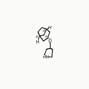 C1CC(O[C@@H]2C[C@@H]3CC[C@@H](C3)C2)CCN1